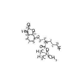 CC(C)(C)OC(=O)N(CCCF)CCOc1cccc2[nH]c(=O)oc12